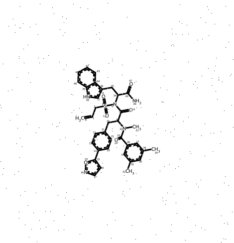 C=CCS(=O)(=O)N(C(=O)C(Cc1ccc(-c2ccno2)cc1)N(C)C(=O)c1cc(C)cc(C)c1)C(Cc1c[nH]c2ccccc12)C(N)=O